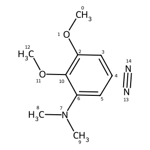 COc1cccc(N(C)C)c1OC.N#N